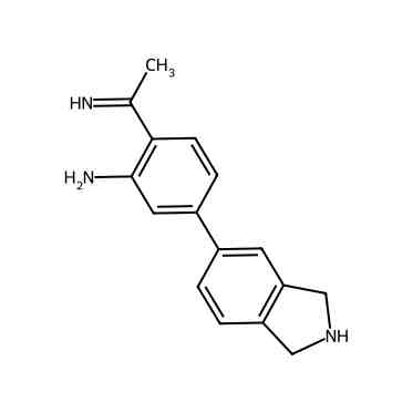 CC(=N)c1ccc(-c2ccc3c(c2)CNC3)cc1N